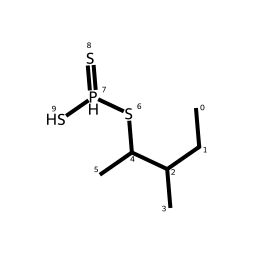 CCC(C)C(C)S[PH](=S)S